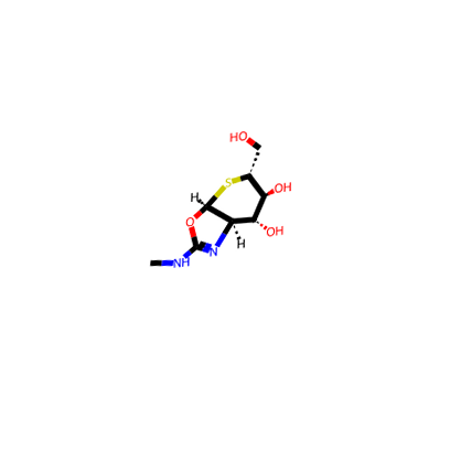 CNC1=N[C@@H]2[C@@H](O)[C@H](O)[C@@H](CO)S[C@@H]2O1